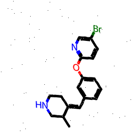 CC1CNCCC1=Cc1cccc(Oc2ccc(Br)cn2)c1